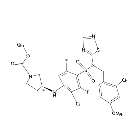 COc1ccc(CN(c2ncns2)S(=O)(=O)c2c(F)cc(N[C@H]3CCN(C(=O)OC(C)(C)C)C3)c(Cl)c2F)c(C)c1